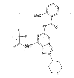 COc1ccccc1C(=O)Nc1cn2cc(C3CCOCC3)nc2c(OC)n1.O=C(O)C(F)(F)F